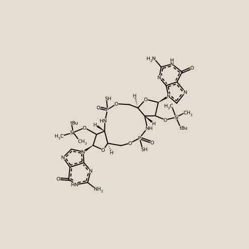 CC(C)(C)[Si](C)(C)OC1[C@H](n2cnc3c(=O)[nH]c(N)nc32)O[C@@H]2COP(=O)(S)N[C@H]3C(O[Si](C)(C)C(C)(C)C)[C@H](n4cnc5c(=O)[nH]c(N)nc54)O[C@@H]3COP(=O)(S)N[C@@H]12